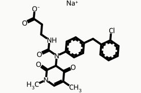 CC1=CN(C)C(=O)C(N(C(=O)NCCC(=O)[O-])c2ccc(Cc3ccccc3Cl)cc2)C1=O.[Na+]